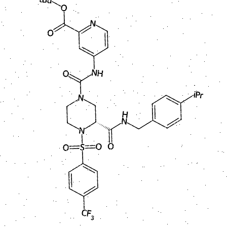 CC(C)c1ccc(CNC(=O)[C@H]2CN(C(=O)Nc3ccnc(C(=O)OC(C)(C)C)c3)CCN2S(=O)(=O)c2ccc(C(F)(F)F)cc2)cc1